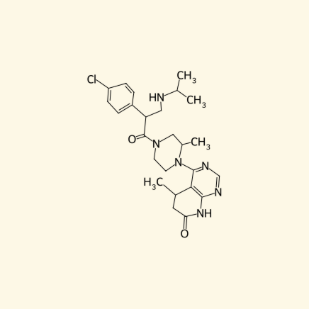 CC(C)NCC(C(=O)N1CCN(c2ncnc3c2C(C)CC(=O)N3)C(C)C1)c1ccc(Cl)cc1